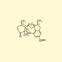 COc1cc(O)c2c(c1)C[C@H](C)[C@@]2(C)CC[C@@H]1[C@H](C)CCC(=O)C1(C)C